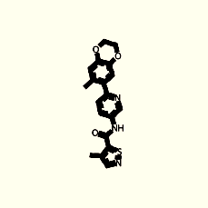 Cc1cc2c(cc1-c1ccc(NC(=O)c3sncc3C)cn1)OCCO2